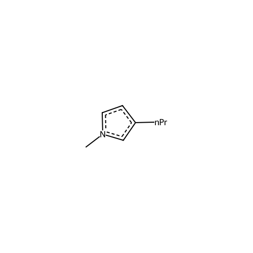 CCCc1ccn(C)c1